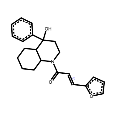 O=C(/C=C/c1ccco1)N1CCC(O)(c2ccccc2)C2CCCCC21